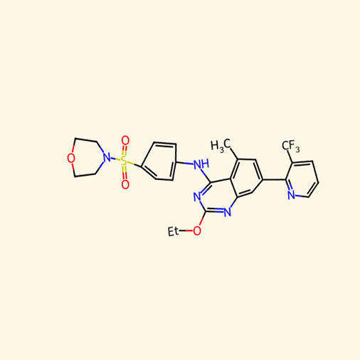 CCOc1nc(Nc2ccc(S(=O)(=O)N3CCOCC3)cc2)c2c(C)cc(-c3ncccc3C(F)(F)F)cc2n1